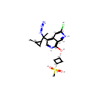 C[C@@H]1CC1C(C)(N=[N+]=[N-])c1cnc(O[C@H]2C[C@@H](S(C)(=O)=O)C2)c2cnc(Cl)cc12